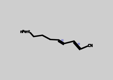 CCCCCCCC/C=C/C=C/C#N